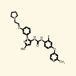 Cc1cc(Oc2ccc(NC(=O)Nc3cc(C(C)(C)C)nn3-c3cccc(OCCN4CCCC4)c3)c(F)c2)ccn1